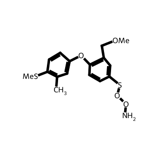 COCc1cc(SOON)ccc1Oc1ccc(SC)c(C)c1